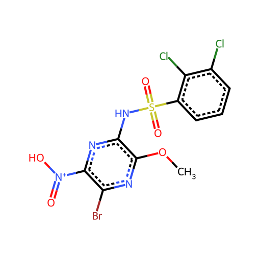 COc1nc(Br)c([N+](=O)O)nc1NS(=O)(=O)c1cccc(Cl)c1Cl